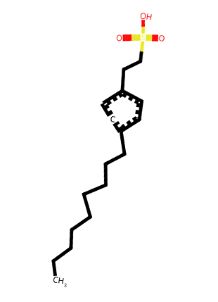 CCCCCCCCCc1ccc(CCS(=O)(=O)O)cc1